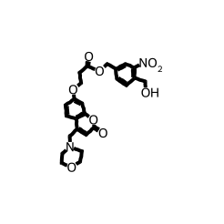 O=C(CCOc1ccc2c(CN3CCOCC3)cc(=O)oc2c1)OCc1ccc(CO)c([N+](=O)[O-])c1